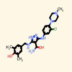 Cc1cc(CNc2[nH]nc(Nc3ccc(N4CCN(C)CC4)c(Cl)c3)c2C(N)O)cc(C)c1O